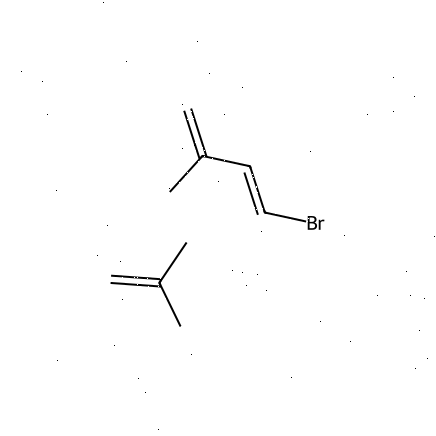 C=C(C)C.C=C(C)C=CBr